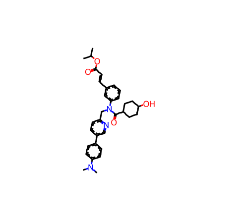 CC(C)OC(=O)/C=C/c1cccc(N(Cc2ccc(-c3ccc(N(C)C)cc3)cn2)C(=O)C2CCC(O)CC2)c1